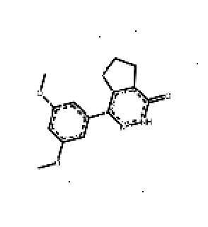 COc1cc(OC)cc(-c2n[nH]c(=O)c3c2CCC3)c1